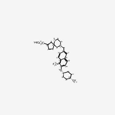 O=C(O)C1CCC2(C1)CN(Cc1ccc3c(C(F)(F)F)c(O[C@H]4CC[C@@H](C(F)(F)F)CC4)ccc3c1)CCO2